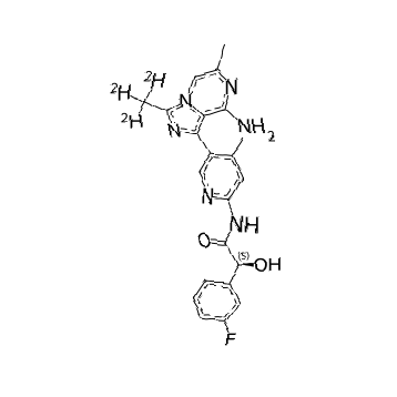 [2H]C([2H])([2H])c1nc(-c2cnc(NC(=O)[C@@H](O)c3cccc(F)c3)cc2C)c2c(N)nc(C)cn12